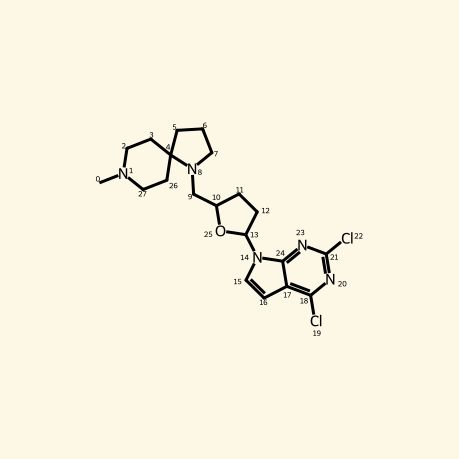 CN1CCC2(CCCN2CC2CCC(n3ccc4c(Cl)nc(Cl)nc43)O2)CC1